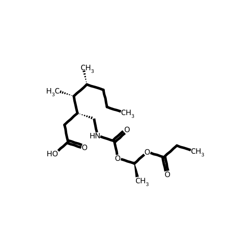 CCC[C@@H](C)[C@@H](C)[C@H](CNC(=O)O[C@H](C)OC(=O)CC)CC(=O)O